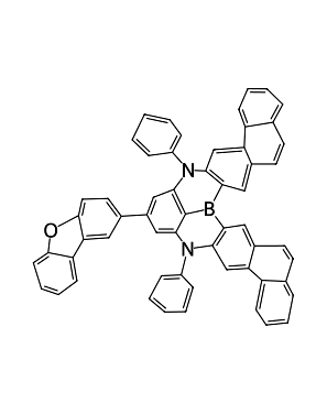 c1ccc(N2c3cc4c(ccc5ccccc54)cc3B3c4cc5ccc6ccccc6c5cc4N(c4ccccc4)c4cc(-c5ccc6oc7ccccc7c6c5)cc2c43)cc1